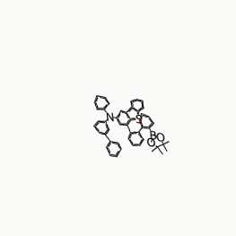 CC1(C)OB(c2ccccc2-c2ccccc2-c2cc(N(c3ccccc3)c3cccc(-c4ccccc4)c3)cc3c2sc2ccccc23)OC1(C)C